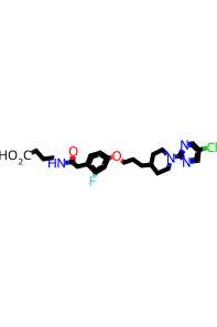 O=C(O)CCCNC(=O)Cc1ccc(OCCCC2CCN(c3ncc(Cl)cn3)CC2)cc1F